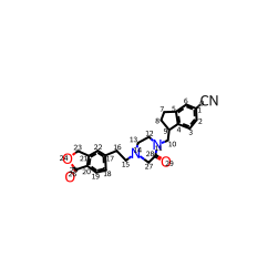 N#Cc1ccc2c(c1)CCC2CN1CCN(CCc2ccc3c(c2)COC3=O)CC1=O